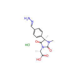 C[C@@H](C(=O)O)N1C(=O)N(C)[C@](C)(c2ccc(C=NN)cc2)C1=O.Cl